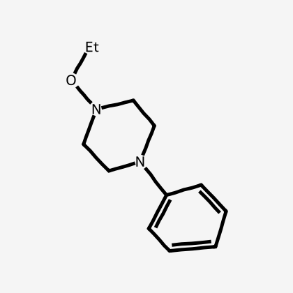 CCON1CCN(c2ccccc2)CC1